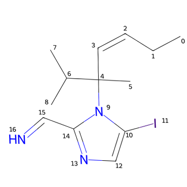 CC/C=C\C(C)(C(C)C)n1c(I)cnc1C=N